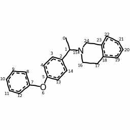 CC(c1ccc(Oc2ccccc2)cc1)N1CCc2ccccc2C1